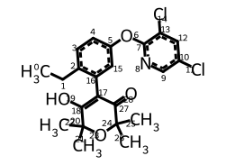 CCc1ccc(Oc2ncc(Cl)cc2Cl)cc1C1=C(O)C(C)(C)OC(C)(C)C1=O